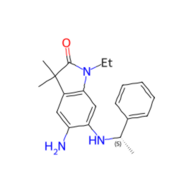 CCN1C(=O)C(C)(C)c2cc(N)c(N[C@@H](C)c3ccccc3)cc21